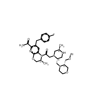 CC(C)OC[C@@H]1COCCN1C[C@H]1CN[C@H](C)CN1CC(=O)N1c2cc(Cc3ccc(F)cc3)c(C(N)=O)nc2OC[C@@H]1C